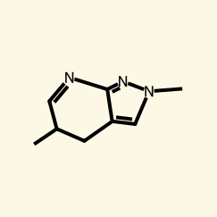 CC1C=Nc2nn(C)cc2C1